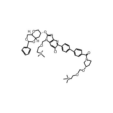 C[Si](C)(C)CCOCO[C@@H]1CCN(C(=O)c2ccc(-c3ccc(-c4nc5nc(O[C@H]6CO[C@@H]7COC(c8ccccc8)O[C@H]7C6)n(COCC[Si](C)(C)C)c5cc4Cl)cc3)cc2)C1